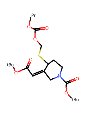 CC(C)OC(=O)OCSC1CCN(C(=O)OC(C)(C)C)C/C1=C/C(=O)OC(C)(C)C